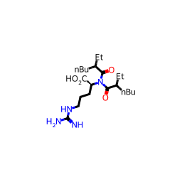 CCCCC(CC)C(=O)N(C(=O)C(CC)CCCC)[C@@H](CCCNC(=N)N)C(=O)O